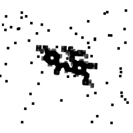 CCc1cc(C=CC(=O)c2ccc(N)cc2)c(OC(C)C)cc1O